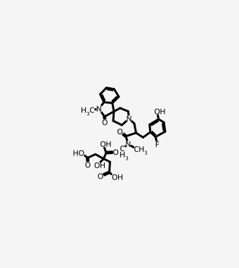 CN(C)C(=O)C(Cc1cc(O)ccc1F)CN1CCC2(CC1)C(=O)N(C)c1ccccc12.O=C(O)CC(O)(CC(=O)O)C(=O)O